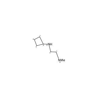 [CH2-][NH2+]CCNC1CCC1